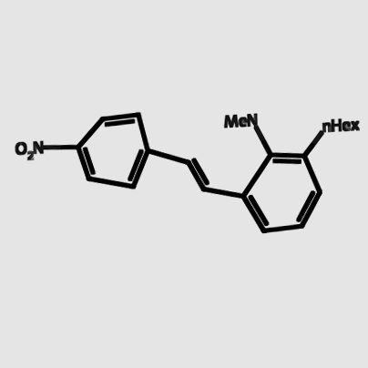 CCCCCCc1cccc(C=Cc2ccc([N+](=O)[O-])cc2)c1NC